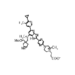 COCC1(CN(C)c2cc(-c3cnc(C4CC4)c(C(F)(F)F)c3)nc3nc(-c4cnc(N5CCN(CCC(=O)[O-])[C@H](C)C5)cn4)[nH]c23)CCCC1.[Na+]